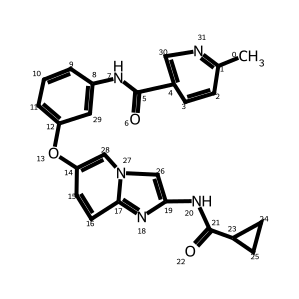 Cc1ccc(C(=O)Nc2cccc(Oc3ccc4nc(NC(=O)C5CC5)cn4c3)c2)cn1